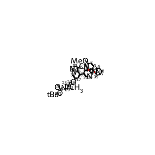 COc1ccc(CN2C3CC2CN(c2ccc(-c4cc(OCC5(C)CN(C(=O)OC(C)(C)C)C5)cn5ncc(C#N)c45)cn2)C3)cn1